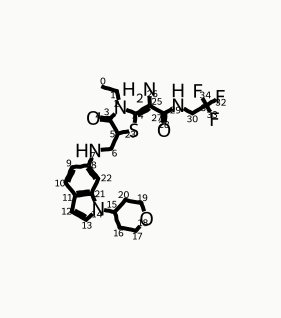 CCN1C(=O)C(CNc2ccc3ccn(C4CCOCC4)c3c2)S/C1=C(/N)C(=O)NCC(F)(F)F